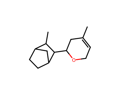 CC1=CCOC(C2C3CCC(C3)C2C)C1